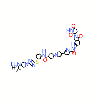 CC1(N)CCN(c2cnc(SC3C=C(NC(=O)C4CCC(N5CC=C(c6ccc(C(=O)NCc7ccc8c(c7)CN(C7CCC(=O)NC7=O)C8=O)nc6)CC5)CC4)C=CC3)cn2)CC1